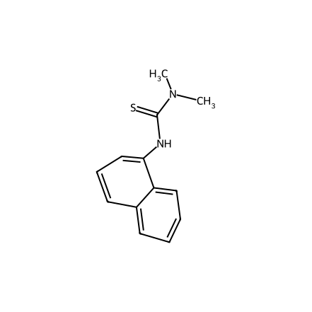 CN(C)C(=S)Nc1cccc2ccccc12